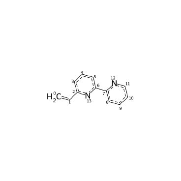 C=Cc1cccc(-c2ccccn2)n1